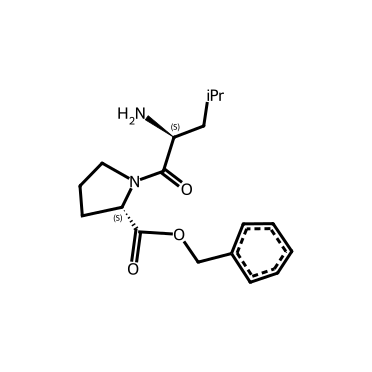 CC(C)C[C@H](N)C(=O)N1CCC[C@H]1C(=O)OCc1ccccc1